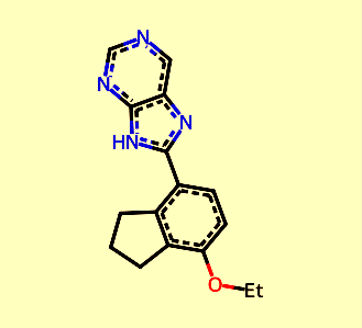 CCOc1ccc(-c2nc3cncnc3[nH]2)c2c1CCC2